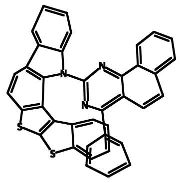 c1ccc(-c2nc(-n3c4ccccc4c4ccc5sc6sc7ccccc7c6c5c43)nc3c2ccc2ccccc23)cc1